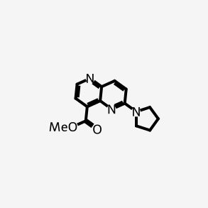 COC(=O)c1ccnc2ccc(N3CCCC3)nc12